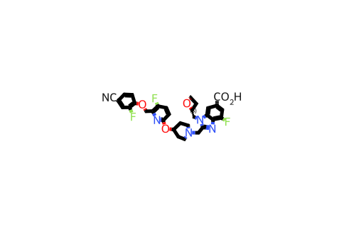 N#Cc1ccc(OCc2nc(OC3CCN(Cc4nc5c(F)cc(C(=O)O)cc5n4C[C@@H]4CCO4)CC3)ccc2F)c(F)c1